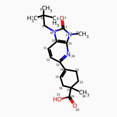 Cn1c(=O)n(CC(C)(C)C)c2ccc(C3=CCC(C)(C(=O)O)CC3)nc21